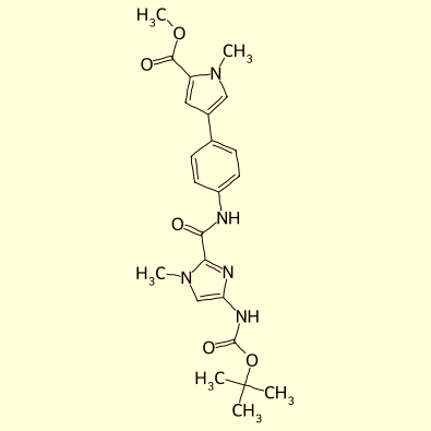 COC(=O)c1cc(-c2ccc(NC(=O)c3nc(NC(=O)OC(C)(C)C)cn3C)cc2)cn1C